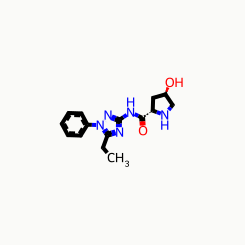 CCc1nc(NC(=O)[C@@H]2C[C@@H](O)CN2)nn1-c1ccccc1